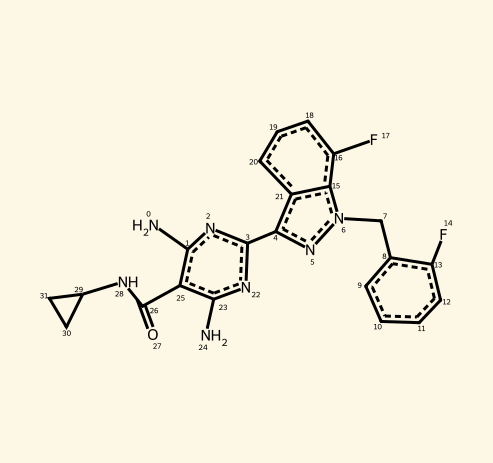 Nc1nc(-c2nn(Cc3ccccc3F)c3c(F)cccc23)nc(N)c1C(=O)NC1CC1